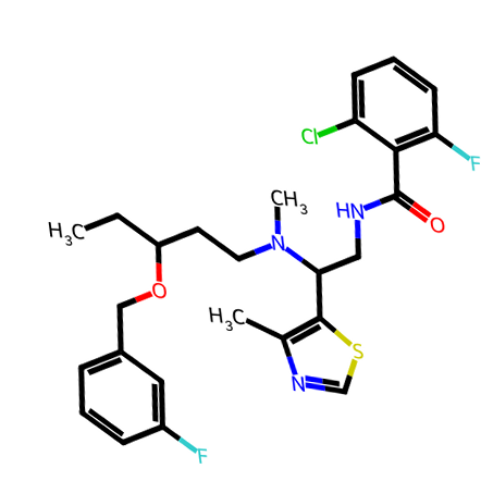 CCC(CCN(C)C(CNC(=O)c1c(F)cccc1Cl)c1scnc1C)OCc1cccc(F)c1